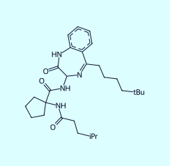 CC(C)CCC(=O)NC1(C(=O)NC2N=C(CCCCC(C)(C)C)c3ccccc3NC2=O)CCCC1